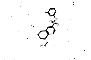 NC[C@@H]1CCCc2cc(S(=O)(=O)Nc3cccc(F)c3)ccc21